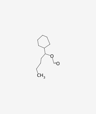 CCCCC(OC=O)C1CCCCC1